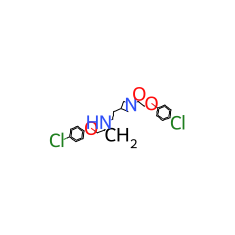 C=C(COc1ccc(Cl)cc1)NCCC1CN(C(=O)COc2ccc(Cl)cc2)C1